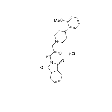 COc1ccccc1N1CCN(CC(=O)NN2C(=O)C3CC=CCC3C2=O)CC1.Cl